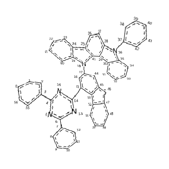 c1ccc(-c2nc(-c3ccccc3)nc(-c3cc(-n4c5ccccc5c5ccc6c(c7ccccc7n6-c6ccccc6)c54)cc4sc5ccccc5c34)n2)cc1